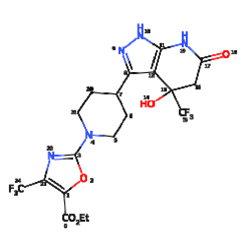 CCOC(=O)c1oc(N2CCC(c3n[nH]c4c3C(O)(C(F)(F)F)CC(=O)N4)CC2)nc1C(F)(F)F